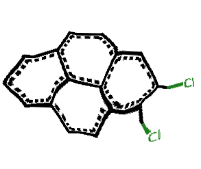 Clc1cc2ccc3cccc4ccc(c1Cl)c2c34